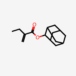 C=C(CC)C(=O)OC1C2CC3CC(C2)CC1C3